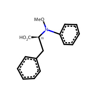 CON(c1ccccc1)[C@@H](Cc1ccccc1)C(=O)O